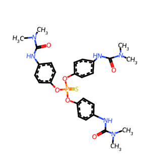 CN(C)C(=O)Nc1ccc(OP(=S)(Oc2ccc(NC(=O)N(C)C)cc2)Oc2ccc(NC(=O)N(C)C)cc2)cc1